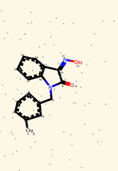 Cc1cccc(CN2C(=O)/C(=N\O)c3ccccc32)c1